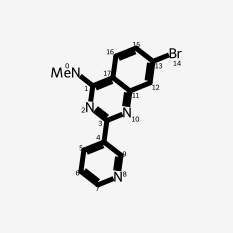 CNc1nc(-c2cccnc2)nc2cc(Br)ccc12